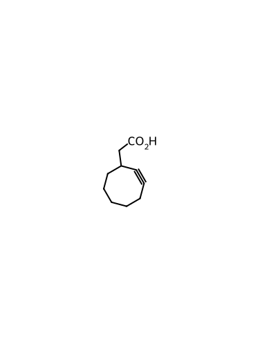 O=C(O)CC1C#CCCCCC1